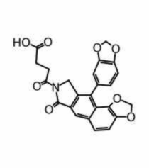 O=C(O)CCC(=O)N1Cc2c(cc3ccc4c(c3c2-c2ccc3c(c2)OCO3)OCO4)C1=O